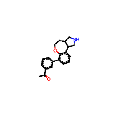 CC(=O)c1cccc(-c2cccc3c2OCCC2CNCC32)c1